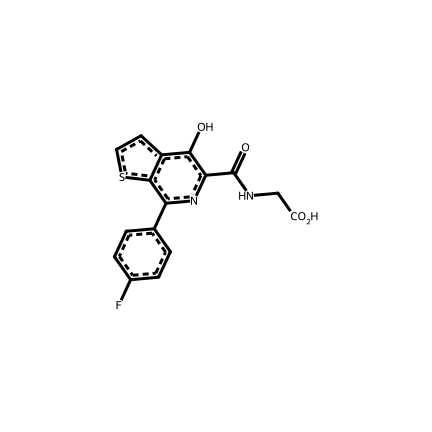 O=C(O)CNC(=O)c1nc(-c2ccc(F)cc2)c2sccc2c1O